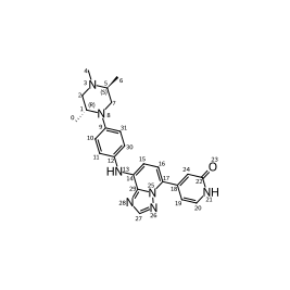 C[C@@H]1CN(C)[C@@H](C)CN1c1ccc(Nc2ccc(-c3cc[nH]c(=O)c3)n3ncnc23)cc1